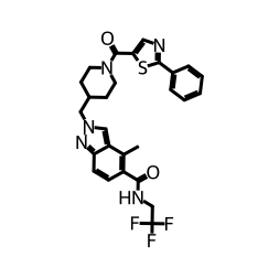 Cc1c(C(=O)NCC(F)(F)F)ccc2nn(CC3CCN(C(=O)c4cnc(-c5ccccc5)s4)CC3)cc12